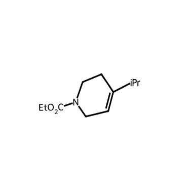 [CH2]C(C)C1=CCN(C(=O)OCC)CC1